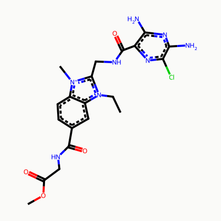 CCn1c(CNC(=O)c2nc(Cl)c(N)nc2N)[n+](C)c2ccc(C(=O)NCC(=O)OC)cc21